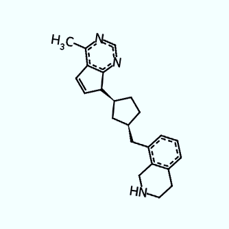 Cc1ncnc2c1C=CC2[C@H]1CC[C@@H](Cc2cccc3c2CNCC3)C1